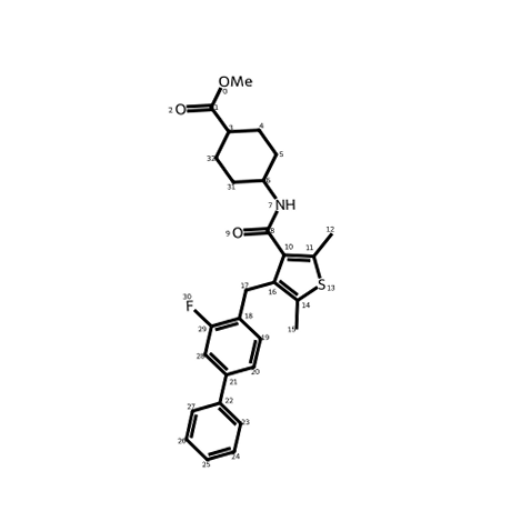 COC(=O)C1CCC(NC(=O)c2c(C)sc(C)c2Cc2ccc(-c3ccccc3)cc2F)CC1